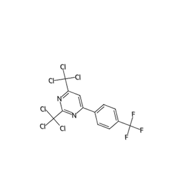 FC(F)(F)c1ccc(-c2cc(C(Cl)(Cl)Cl)nc(C(Cl)(Cl)Cl)n2)cc1